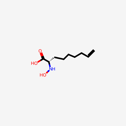 C=CCCCCC[C@H](NO)C(=O)O